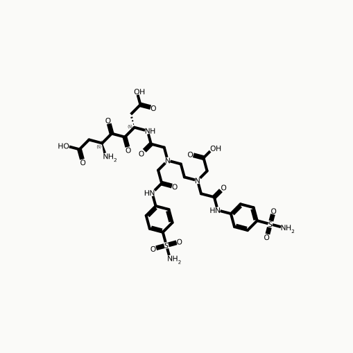 N[C@@H](CC(=O)O)C(=O)C(=O)[C@H](CC(=O)O)NC(=O)CN(CCN(CC(=O)O)CC(=O)Nc1ccc(S(N)(=O)=O)cc1)CC(=O)Nc1ccc(S(N)(=O)=O)cc1